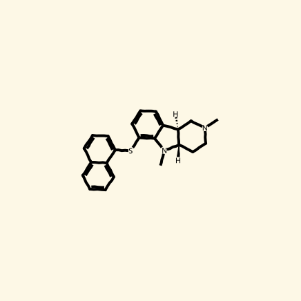 CN1CC[C@H]2[C@H](C1)c1cccc(Sc3cccc4ccccc34)c1N2C